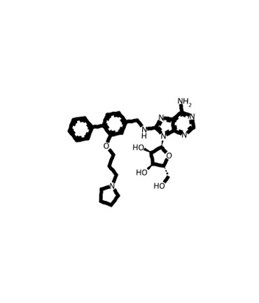 Nc1ncnc2c1nc(NCc1ccc(-c3ccccc3)c(OCCCN3CCCC3)c1)n2[C@@H]1O[C@H](CO)[C@@H](O)[C@H]1O